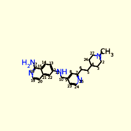 CN1CCC(CCc2cc(CNc3ccc4c(N)nccc4c3)ccn2)CC1